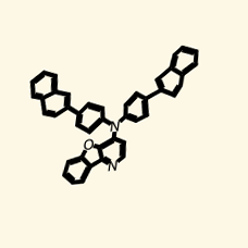 c1ccc2cc(-c3ccc(N(c4ccc(-c5ccc6ccccc6c5)cc4)c4ccnc5c4oc4ccccc45)cc3)ccc2c1